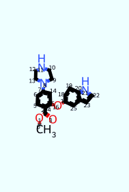 COC(=O)c1ccc(N2CCNCC2)cc1Oc1ccc2[nH]ccc2c1